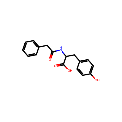 O=C(Cc1ccccc1)NC(Cc1ccc(O)cc1)C(=O)O